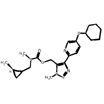 C[C@@H]1CC1CN(C)C(=O)OCc1c(-c2ccc(OC3CCCCC3)cn2)nnn1C